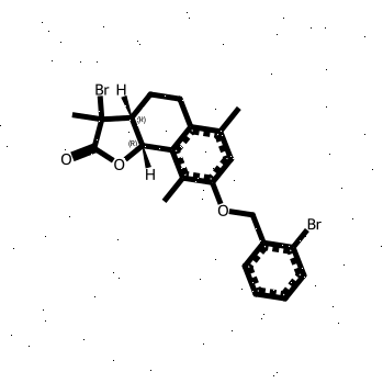 Cc1cc(OCc2ccccc2Br)c(C)c2c1CC[C@@H]1[C@H]2OC(=O)C1(C)Br